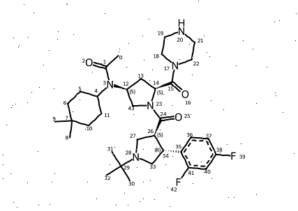 CC(=O)N(C1CCC(C)(C)CC1)[C@H]1C[C@@H](C(=O)N2CCNCC2)N(C(=O)[C@@H]2CN(C(C)(C)C)C[C@H]2c2ccc(F)cc2F)C1